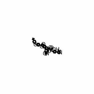 Cc1nc(C(=O)N2Cc3cc4c(cc3C[C@H]2C(=O)N[C@@H](Cc2ccc(-c3ccnc(C)c3C)cc2)C(=O)O)OC[C@H](c2ccc(OC3CCC(C(C)(C)C)CC3)cc2)O4)c(C)o1